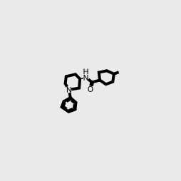 CC1CCC(C(=O)N[C@H]2CCCN(c3ccccc3)C2)CC1